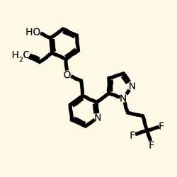 C=Cc1c(O)cccc1OCc1cccnc1-c1ccnn1CCC(F)(F)F